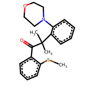 CSc1ccccc1C(=O)C(C)(C)c1ccccc1N1CCOCC1